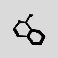 BrC1OC=Cc2ccccc21